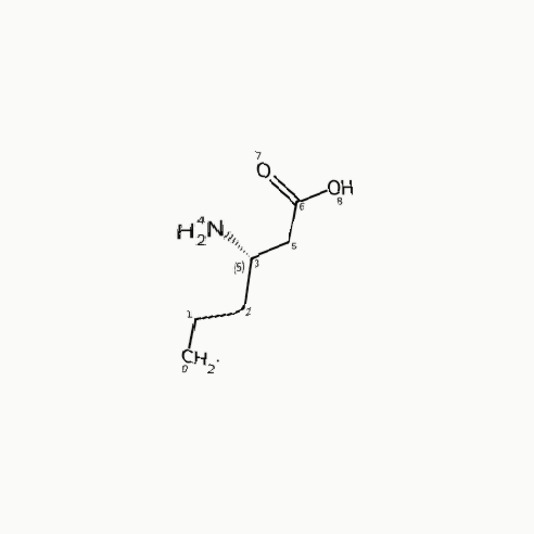 [CH2]CC[C@H](N)CC(=O)O